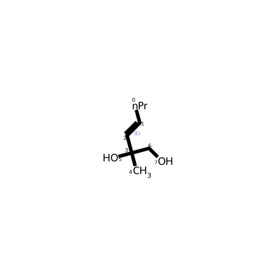 [CH2]CC/C=C/C(C)(O)CO